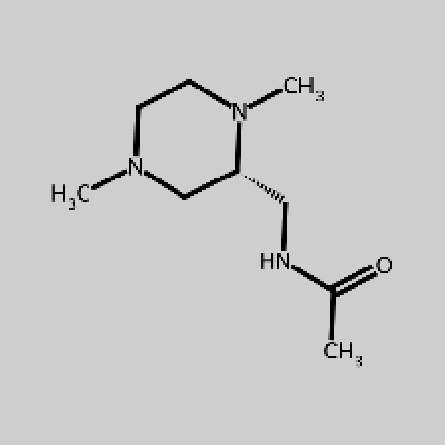 CC(=O)NC[C@@H]1CN(C)CCN1C